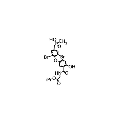 CC(C)OC(=O)CNC(=O)c1cc(Oc2c(Br)cc(CP(C)(=O)O)cc2Br)ccc1O